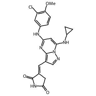 COc1ccc(Nc2cc(NC3CC3)n3ncc(/C=C4\CC(=O)NC4=O)c3n2)cc1Cl